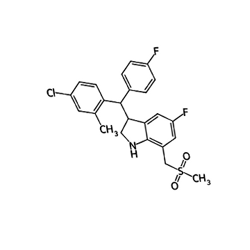 Cc1cc(Cl)ccc1C(c1ccc(F)cc1)C1CNc2c(CS(C)(=O)=O)cc(F)cc21